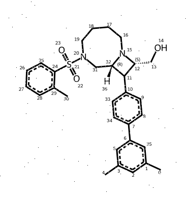 Cc1cc(C)cc(-c2ccc(C3[C@@H](CO)N4CCCCN(S(=O)(=O)c5ccccc5C)C[C@@H]34)cc2)c1